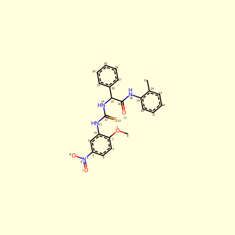 COc1ccc([N+](=O)[O-])cc1NC(=S)NC(C(=O)Nc1ccccc1C)c1ccccc1